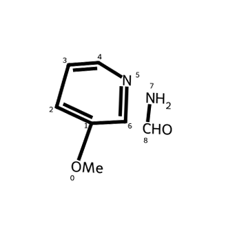 COc1cccnc1.NC=O